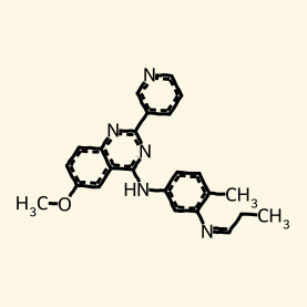 CC/C=N\c1cc(Nc2nc(-c3cccnc3)nc3ccc(OC)cc23)ccc1C